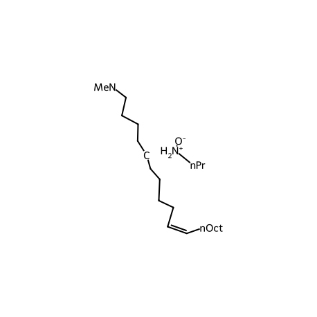 CCCCCCCC/C=C\CCCCCCCCCNC.CCC[NH2+][O-]